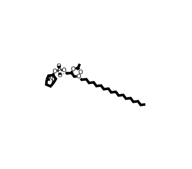 CCCCCCCCCCCCCCCCCCOCC(COP(=O)([O-])OC1CC2CCC(C1)[N+]2(C)C)OC(C)=O